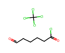 ClC(Cl)(Cl)Cl.O=CCCCCC(=O)Cl